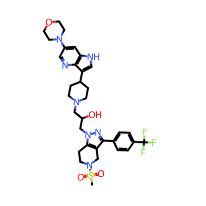 CS(=O)(=O)N1CCc2c(c(-c3ccc(C(F)(F)F)cc3)nn2CC(O)CN2CCC(c3c[nH]c4cc(N5CCOCC5)cnc34)CC2)C1